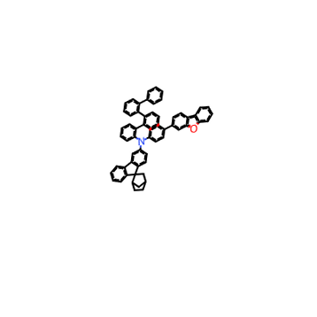 c1ccc(-c2ccccc2-c2ccccc2-c2ccccc2N(c2ccc(-c3ccc4c(c3)oc3ccccc34)cc2)c2ccc3c(c2)-c2ccccc2C32CC3CCC2C3)cc1